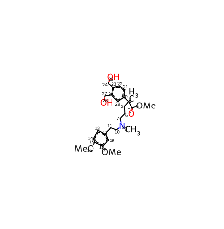 COC(=O)C(C)(CCCN(C)CCc1ccc(OC)c(OC)c1)c1ccc(CO)c(CO)c1